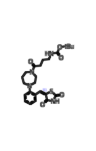 CC(C)(C)OC(=O)NCCCC(=O)N1CCCN(c2ccccc2/C=C2/SC(=O)NC2=O)CC1